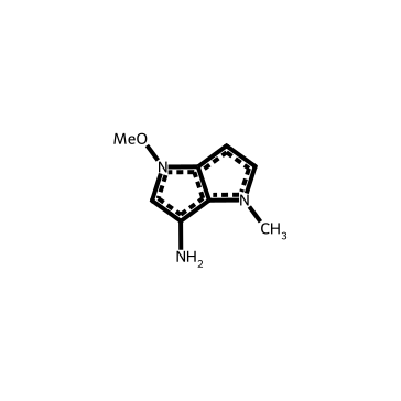 COn1cc(N)c2c1ccn2C